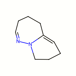 C1=NN2CCCC=C2CCC1